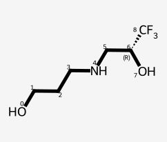 OCCCNC[C@@H](O)C(F)(F)F